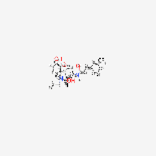 C=CCN1CC[C@]23c4c5ccc(O)c4OC2CC(N(C)C(=O)/C=C/c2cccc(C(F)(F)F)c2)C[C@@]3(O)[C@H]1C5